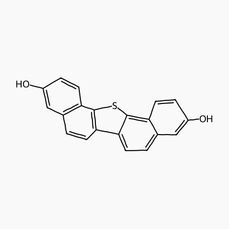 Oc1ccc2c(ccc3c4ccc5cc(O)ccc5c4sc23)c1